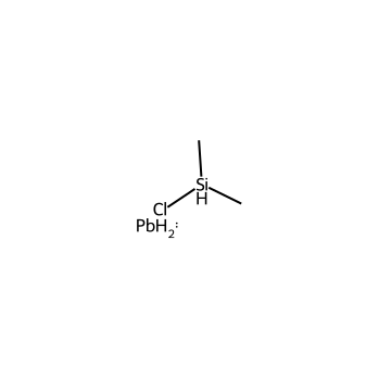 C[SiH](C)Cl.[PbH2]